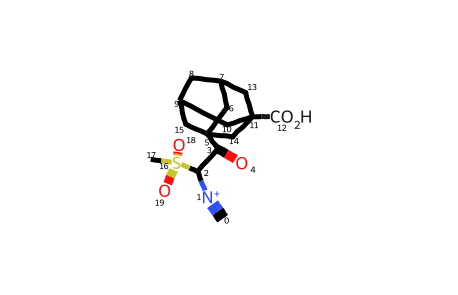 C#[N+]C(C(=O)C12CC3CC(CC(C(=O)O)(C3)C1)C2)S(C)(=O)=O